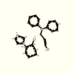 ClC=CCB(c1ccccc1)c1ccccc1.Clc1ccccc1-n1ccnc1